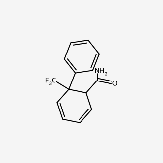 NC(=O)C1C=CC=CC1(c1ccccc1)C(F)(F)F